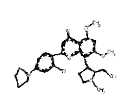 COc1cc(OC)c2c(=O)cc(-c3ccc(N4CCCC4)cc3Cl)oc2c1C1CCN(C)C1CO